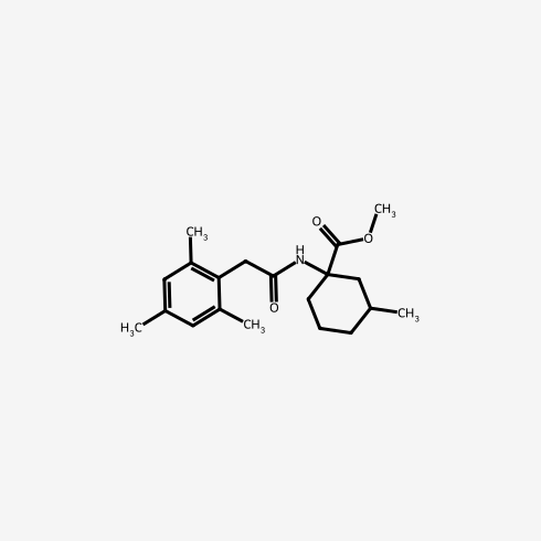 COC(=O)C1(NC(=O)Cc2c(C)cc(C)cc2C)CCCC(C)C1